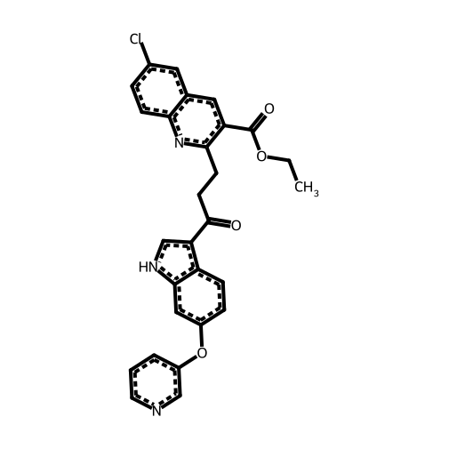 CCOC(=O)c1cc2cc(Cl)ccc2nc1CCC(=O)c1c[nH]c2cc(Oc3cccnc3)ccc12